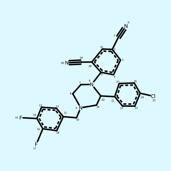 N#Cc1ccc(N2CCN(Cc3ccc(F)c(F)c3)CC2c2ccc(Cl)cc2)c(C#N)c1